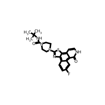 CC(C)(C)NC(=O)N1CCN(c2nc3c4ccc(F)cc4c4c(=O)[nH]ccc4c3s2)CC1